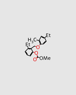 CCc1ccc(OCc2c(CC)cccc2OC(=O)OC)c(C)c1